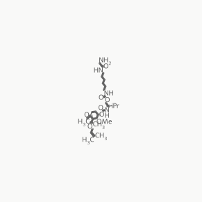 COC1C(C(C)(C)OCC=C(C)C)[C@]2(CC[C@@H]1OC(=O)N[C@@H](COC(=O)NCCCCCCNC(=O)CN)C(C)C)CO2